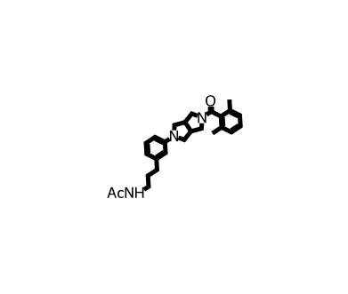 CC(=O)NCCCc1cccc(N2CC3CN(C(=O)c4c(C)cccc4C)CC3C2)c1